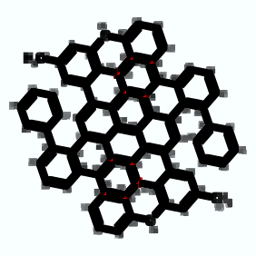 Cc1cc2c3c(c1)-c1cc(-c4c(-c5ccccc5)cccc4-c4ccccc4)c4cc5c6c(cc(-c7c(-c8ccccc8)cccc7-c7ccccc7)c7cc(c1c4c76)B3c1ccccc1O2)-c1cc(C)cc2c1B5c1ccccc1O2